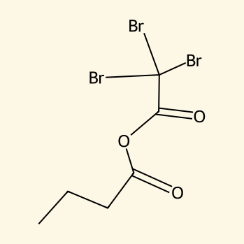 CCCC(=O)OC(=O)C(Br)(Br)Br